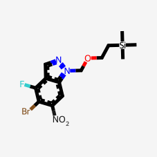 C[Si](C)(C)CCOCn1ncc2c(F)c(Br)c([N+](=O)[O-])cc21